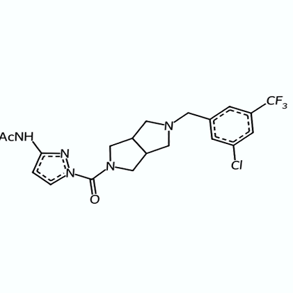 CC(=O)Nc1ccn(C(=O)N2CC3CN(Cc4cc(Cl)cc(C(F)(F)F)c4)CC3C2)n1